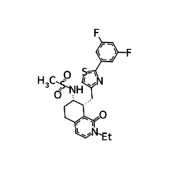 CCn1ccc2c(c1=O)[C@@H](Cc1csc(-c3cc(F)cc(F)c3)n1)[C@@H](NS(C)(=O)=O)CC2